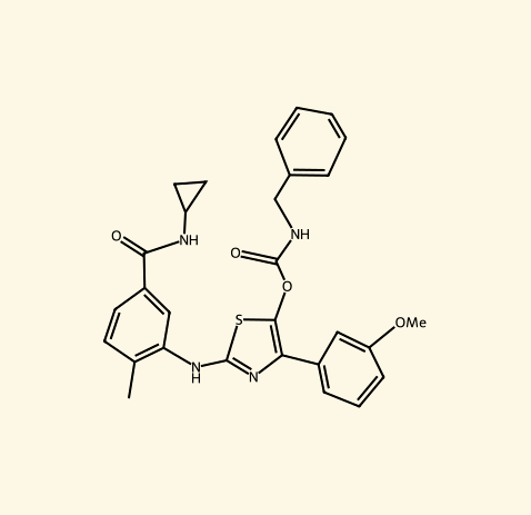 COc1cccc(-c2nc(Nc3cc(C(=O)NC4CC4)ccc3C)sc2OC(=O)NCc2ccccc2)c1